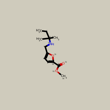 CCC(C)(C)NCc1ccc(C(=O)OC)o1